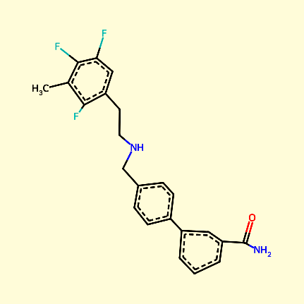 Cc1c(F)c(F)cc(CCNCc2ccc(-c3cccc(C(N)=O)c3)cc2)c1F